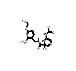 CCC(=O)NC1=CN=CC(C)(C(=O)NCc2ccc(OCC(F)(F)F)nc2C)N1